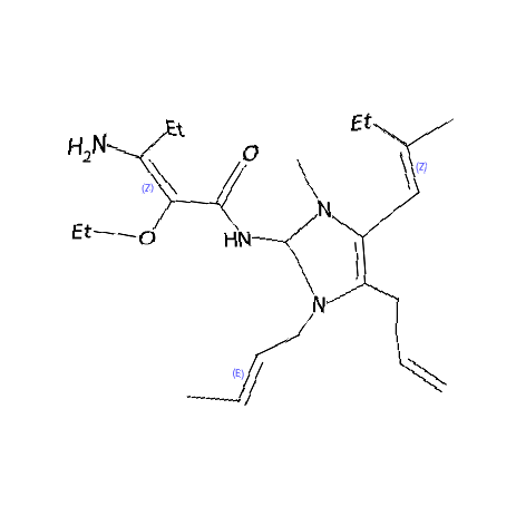 C=CCC1=C(/C=C(/C)CC)N(C)C(NC(=O)/C(OCC)=C(/N)CC)N1C/C=C/C